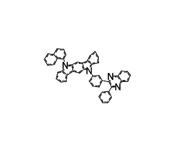 c1ccc(-c2nc3ccccc3nc2-c2cccc(-n3c4ccccc4c4cc5c(cc43)c3ccccc3n5-c3cccc4ccccc34)c2)cc1